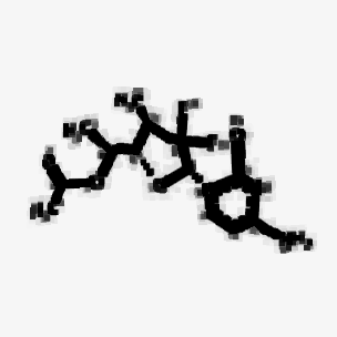 CC(=O)O[C@@H](C)[C@H]1O[C@@H](n2ccc(N)nc2=O)C(F)(F)[C@@H]1C